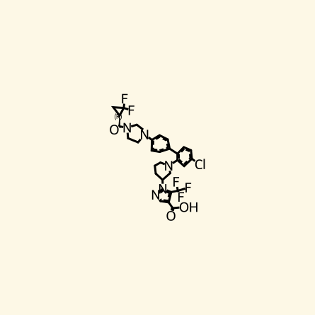 O=C(O)c1cnn(C2CCCN(c3cc(Cl)ccc3-c3ccc(N4CCN(C(=O)[C@H]5CC5(F)F)CC4)cc3)C2)c1C(F)(F)F